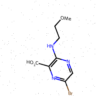 COCCNc1ncc(Br)nc1C(=O)O